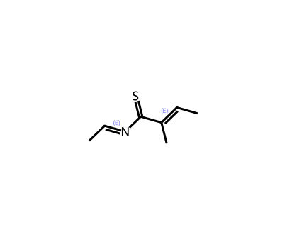 C/C=N/C(=S)/C(C)=C/C